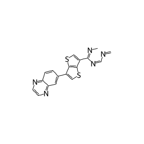 C=N/C=N\C(=N/C)c1csc2c(-c3ccc4nccnc4c3)csc12